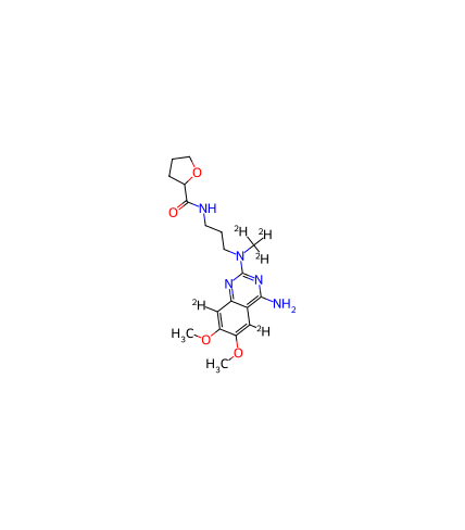 [2H]c1c(OC)c(OC)c([2H])c2c(N)nc(N(CCCNC(=O)C3CCCO3)C([2H])([2H])[2H])nc12